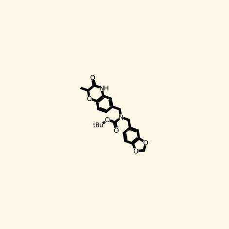 CC1Oc2ccc(CN(Cc3ccc4c(c3)OCO4)C(=O)OC(C)(C)C)cc2NC1=O